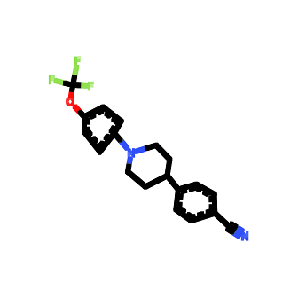 N#Cc1ccc(C2CCN(c3ccc(OC(F)(F)F)cc3)CC2)cc1